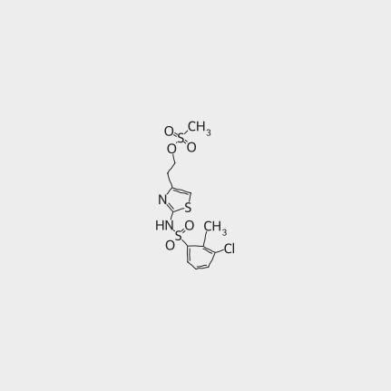 Cc1c(Cl)cccc1S(=O)(=O)Nc1nc(CCOS(C)(=O)=O)cs1